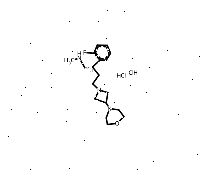 CNC[C@@H](CCN1CC(N2CCOCC2)C1)c1ccccc1F.Cl.Cl